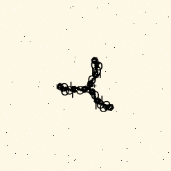 CCC1(OC(=O)COc2c(I)cc(COc3ccc([S+](c4ccc(OCc5cc(I)c(OCC(=O)OC6(CC)CCCCC6)c(I)c5)cc4)c4ccc(OCc5cc(I)c(OCC(=O)OC6(CC)CCCCC6)c(I)c5)cc4)cc3)cc2I)CCCCC1